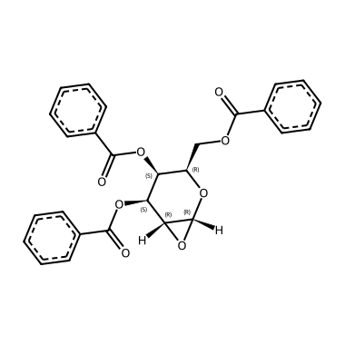 O=C(OC[C@H]1O[C@@H]2O[C@@H]2[C@@H](OC(=O)c2ccccc2)[C@H]1OC(=O)c1ccccc1)c1ccccc1